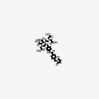 C[C@@H](CN(CC(=O)O)CC(=O)O)N(CC(=O)O)[C@H](Cc1ccc(NC(=O)C2CCC(CN3C(=O)C=CC3=O)CC2)cc1)CN(CC(=O)O)CC(=O)O